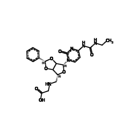 CCNC(=O)Nc1ccn([C@@H]2O[C@H](CNCC(=O)O)C3O[C@H](c4ccccc4)OC32)c(=O)n1